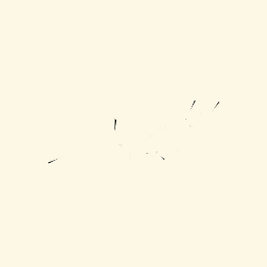 COC[C@]12CC[C@H](O)C=C1CC[C@@H]1[C@@H]2CC[C@]2(C)[C@@H](O)CC[C@@H]12